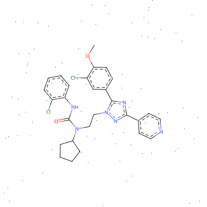 COc1ccc(-c2nc(-c3ccncc3)nn2CCN(C(=O)Nc2ccccc2Cl)C2CCCC2)cc1Cl